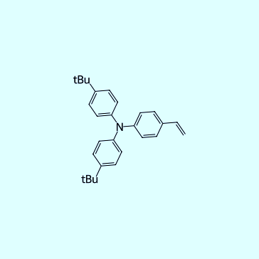 C=Cc1ccc(N(c2ccc(C(C)(C)C)cc2)c2ccc(C(C)(C)C)cc2)cc1